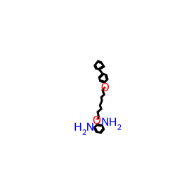 Nc1cccc(N)c1OCCCCCCCCOc1ccc(-c2ccccc2)cc1